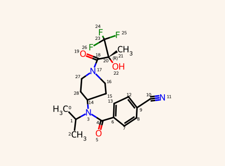 CC(C)N(C(=O)c1ccc(C#N)cc1)C1CCN(C(=O)[C@@](C)(O)C(F)(F)F)CC1